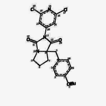 CC(C)COc1ccc(CC23CCCN2C(=O)N(c2cc(Cl)nc(Cl)c2)C3=O)cc1